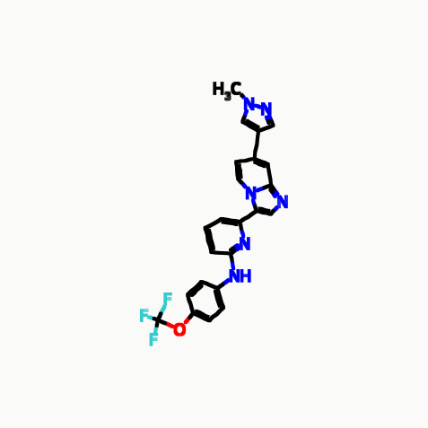 Cn1cc(-c2ccn3c(-c4cccc(Nc5ccc(OC(F)(F)F)cc5)n4)cnc3c2)cn1